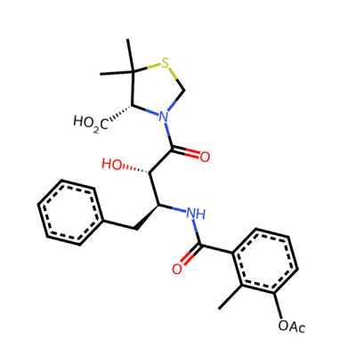 CC(=O)Oc1cccc(C(=O)N[C@@H](Cc2ccccc2)[C@H](O)C(=O)N2CSC(C)(C)[C@H]2C(=O)O)c1C